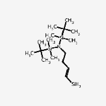 CC(C)(C)[Si](C)(C)N(CCC=C[SiH3])[Si](C)(C)C(C)(C)C